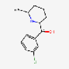 CCCC1CCCC([C@@H](O)c2cccc(Cl)c2)N1